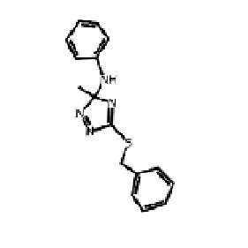 CC1(Nc2ccccc2)N=NC(SCc2ccccc2)=N1